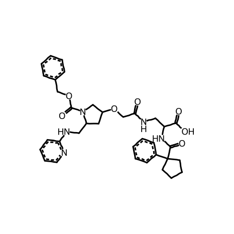 O=C(COC1CC(CNc2ccccn2)N(C(=O)OCc2ccccc2)C1)NCC(NC(=O)C1(c2ccccc2)CCCC1)C(=O)O